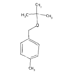 Cc1ccc(COC(C)(C)C)cc1